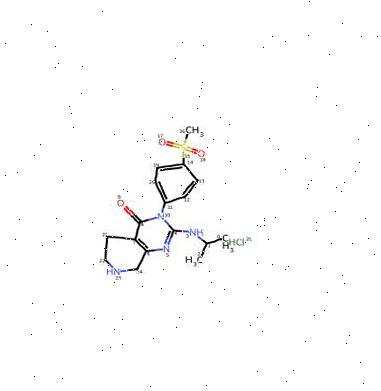 CC(C)Nc1nc2c(c(=O)n1-c1ccc(S(C)(=O)=O)cc1)CCNC2.Cl